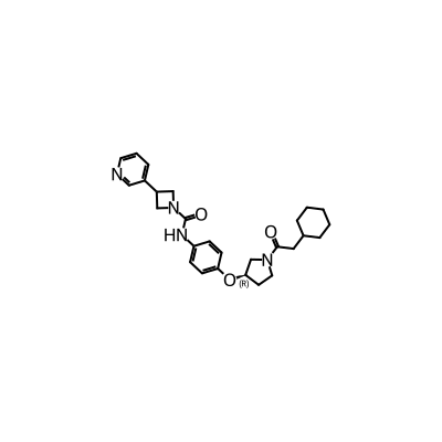 O=C(CC1CCCCC1)N1CC[C@@H](Oc2ccc(NC(=O)N3CC(c4cccnc4)C3)cc2)C1